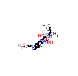 CCCCC(C)(C)C(=O)NC[C@@H](O)[C@H](C[C@@H](Cc1ccc2cnn(CCCOC)c2c1)C(C)C)NC(=O)O